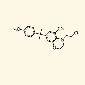 CC(C)(c1ccc(O)cc1)c1cc(C#N)c2c(c1)OCCN2CCCl